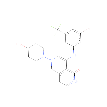 O=c1[nH]ccc2c1C(Nc1cc(Br)cc(C(F)(F)F)c1)=CN(N1CCC(O)CC1)C2